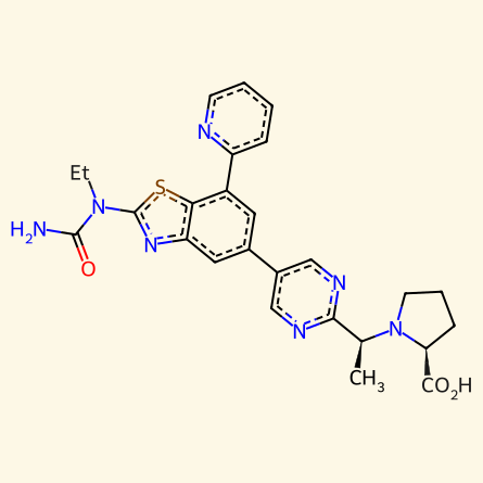 CCN(C(N)=O)c1nc2cc(-c3cnc([C@H](C)N4CCC[C@H]4C(=O)O)nc3)cc(-c3ccccn3)c2s1